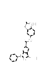 Cc1nn(-c2ccccc2)c2sc(C(=O)Nc3ccc4c(c3)CC(=O)N4)cc12